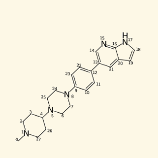 CN1CCC(N2CCN(c3ccc(-c4cnc5[nH]ccc5c4)cc3)CC2)CC1